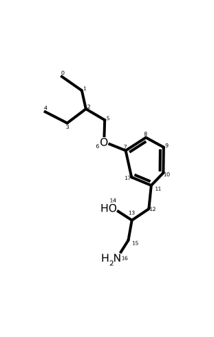 CCC(CC)COc1cccc(CC(O)CN)c1